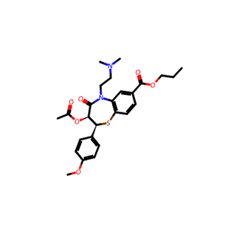 CCCOC(=O)c1ccc2c(c1)N(CCN(C)C)C(=O)[C@H](OC(C)=O)[C@H](c1ccc(OC)cc1)S2